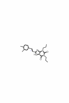 CCCn1c(=O)c2[nH]c(/C=C/c3ccc(C)c(C)c3)nc2n(CCC)c1=O